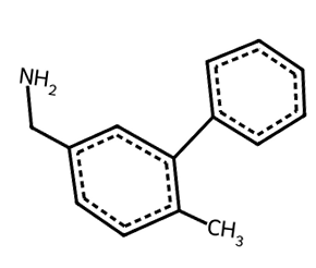 Cc1ccc(CN)cc1-c1ccccc1